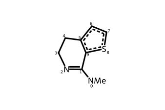 CNC1=NCCc2ccsc21